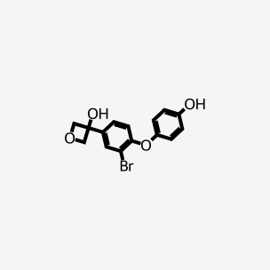 Oc1ccc(Oc2ccc(C3(O)COC3)cc2Br)cc1